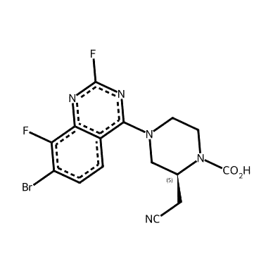 N#CC[C@H]1CN(c2nc(F)nc3c(F)c(Br)ccc23)CCN1C(=O)O